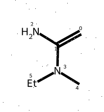 C=C(N)N(C)CC